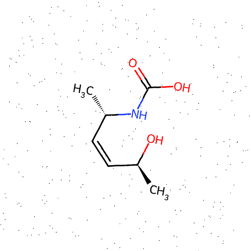 C[C@H](O)/C=C\[C@H](C)NC(=O)O